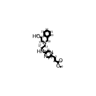 COC(=O)/C=C/c1cnc(N[C@H](C)CN(CCO)Cc2ccccc2)cn1